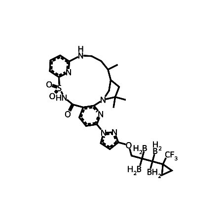 BC(B)(COc1ccn(-c2ccc3c(n2)N2CC(CC2(C)C)C(C)CCNc2cccc(n2)S(=O)(=O)NC3=O)n1)C(B)(B)C1(C(F)(F)F)CC1